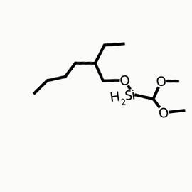 CCCCC(CC)CO[SiH2]C(OC)OC